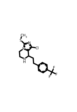 CSc1nc(Cl)c2n1CCNC2CCc1ccc(C(F)(F)F)cc1